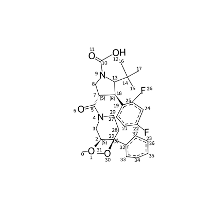 CO[C@H]1CN(C(=O)[C@@H]2CN(C(=O)O)C(C(C)(C)C)[C@H]2c2ccc(F)cc2F)CC[C@]1(OC)c1ccccc1